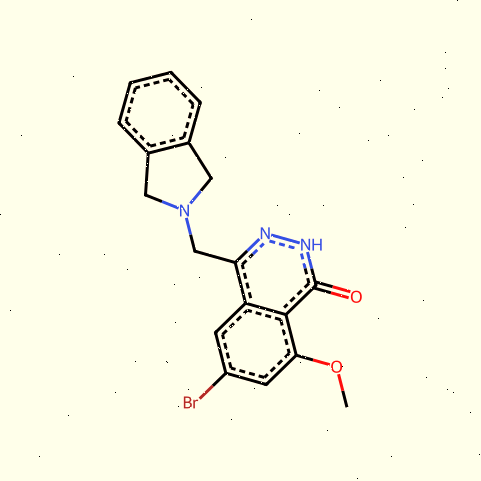 COc1cc(Br)cc2c(CN3Cc4ccccc4C3)n[nH]c(=O)c12